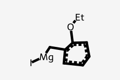 CCOc1ccccc1[CH2][Mg][I]